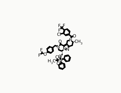 C[C@@H]1Cc2nn3c(c2CN1C(=O)c1ccc(C(F)(F)F)c(Cl)c1)C(=O)N(Cc1ccc(OC(F)F)cc1)C[C@H]3CO[Si](c1ccccc1)(c1ccccc1)C(C)(C)C